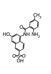 Cc1ccc(N)c(C(=O)Nc2cc(O)cc3cc(S(=O)(=O)O)ccc23)c1